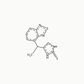 CC(c1c[nH]c(=S)[nH]1)c1cccc2nsnc12